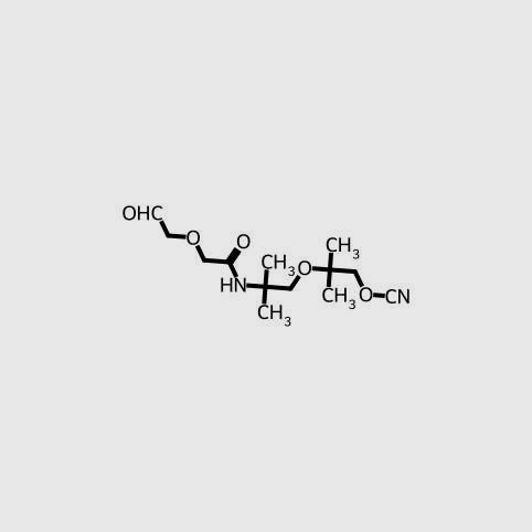 CC(C)(COC(C)(C)COC#N)NC(=O)COCC=O